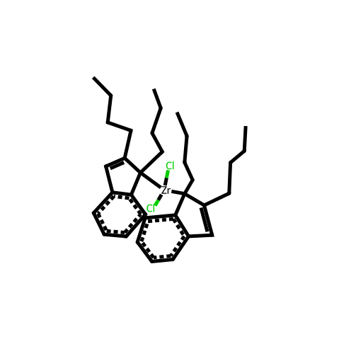 CCCCC1=Cc2ccccc2[C]1(CCCC)[Zr]([Cl])([Cl])[C]1(CCCC)C(CCCC)=Cc2ccccc21